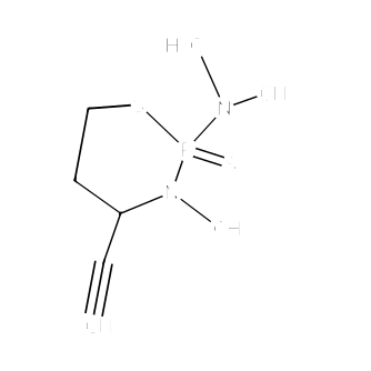 C#CC1CCSP(=S)(N(C)C)N1C